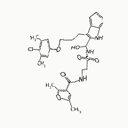 Cc1cc(C(=O)NCCS(=O)(=O)NC(O)c2[nH]c3ccccc3c2CCCOc2cc(C)c(Cl)c(C)c2)c(C)o1